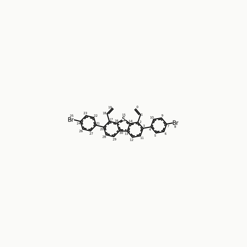 C=Cc1c(-c2ccc(Br)cc2)ccc2c1sc1c(C=C)c(-c3ccc(Br)cc3)ccc12